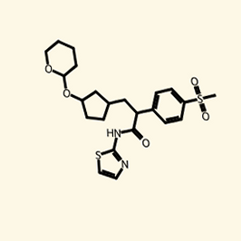 CS(=O)(=O)c1ccc(C(CC2CCC(OC3CCCCO3)C2)C(=O)Nc2nccs2)cc1